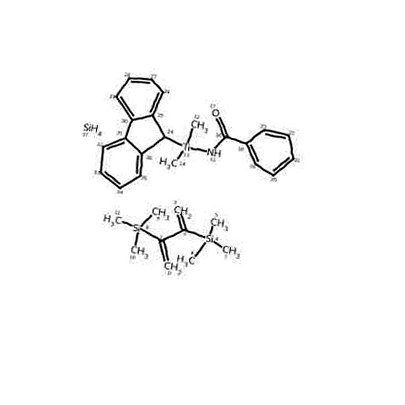 C=C(C(=C)[Si](C)(C)C)[Si](C)(C)C.[CH3][Ti]([CH3])([NH]C(=O)c1ccccc1)[CH]1c2ccccc2-c2ccccc21.[SiH4]